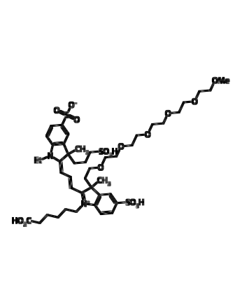 CCN1/C(=C/C=C/C2=[N+](CCCCCC(=O)O)c3ccc(S(=O)(=O)O)cc3C2(C)CCOCCOCCOCCOCCOCCOC)C(C)(CCCS(=O)(=O)O)c2cc(S(=O)(=O)[O-])ccc21